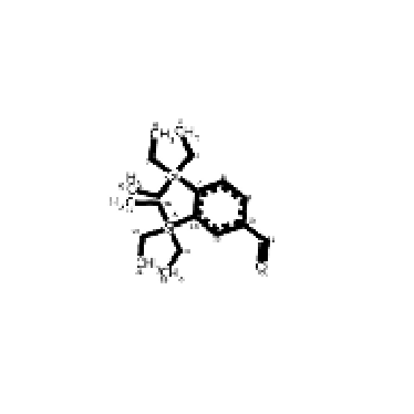 CC[Si](CC)(CC)c1ccc(C=O)cc1[Si](CC)(CC)CC